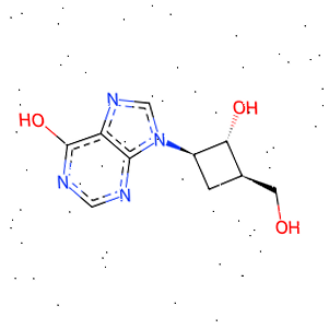 OC[C@H]1C[C@@H](n2cnc3c(O)ncnc32)[C@@H]1O